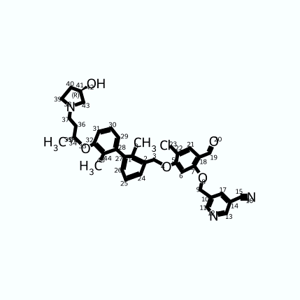 Cc1c(COc2cc(OCc3cncc(C#N)c3)c(C=O)cc2Cl)cccc1-c1cccc(O[C@H](C)CCN2CC[C@@H](O)C2)c1C